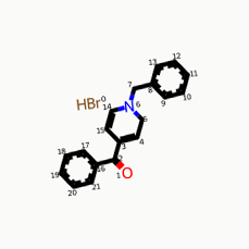 Br.O=C(C1=CCN(Cc2ccccc2)C=C1)c1ccccc1